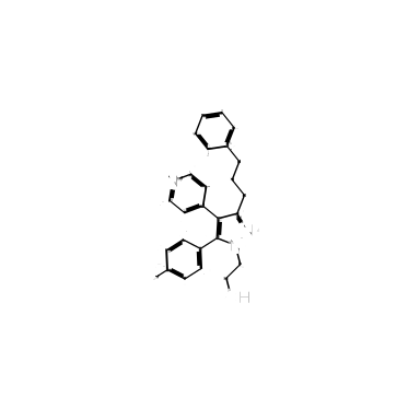 OCCn1nc(CCCc2ccccc2)c(-c2ccncc2)c1-c1ccc(F)cc1